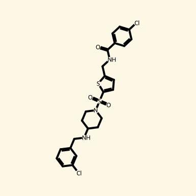 O=C(NCc1ccc(S(=O)(=O)N2CCC(NCc3cccc(Cl)c3)CC2)s1)c1ccc(Cl)cc1